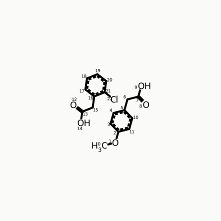 COc1ccc(CC(=O)O)cc1.O=C(O)Cc1ccccc1Cl